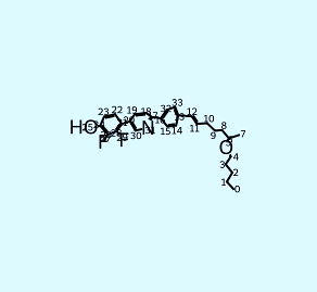 CCCCCOC(C)CCC/C=C/c1ccc(-c2ccc(-c3ccc(O)c(F)c3F)cn2)cc1